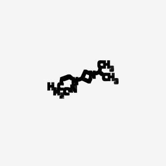 C=NN(/C=C\C)C1CN(C(C)C)C1